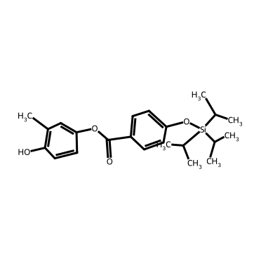 Cc1cc(OC(=O)c2ccc(O[Si](C(C)C)(C(C)C)C(C)C)cc2)ccc1O